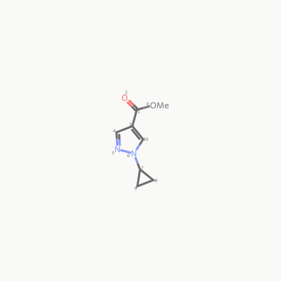 COC(=O)c1cnn(C2CC2)c1